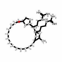 CC1O[Si]2(CCCNC(=N)N)OC1CCCCCCCCCCCCC[C@@H]1CO[Si](CCCNC(=N)N)(O1)O2